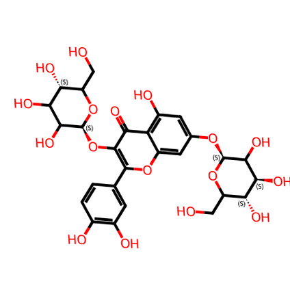 O=c1c(O[C@@H]2OC(CO)[C@@H](O)C(O)C2O)c(-c2ccc(O)c(O)c2)oc2cc(O[C@@H]3OC(CO)[C@@H](O)[C@H](O)C3O)cc(O)c12